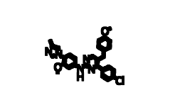 COc1ccc(Cc2cnc(Nc3ccc(-n4cnc(C)c4)c(OC)c3)nc2-c2ccc(Cl)cc2)cc1